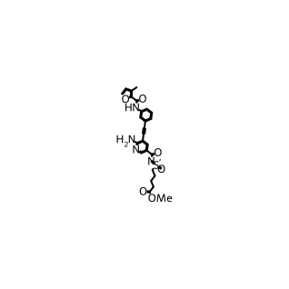 COC(=O)CCCC[S@](C)(=O)=NC(=O)c1cnc(N)c(C#Cc2cccc(NC(=O)c3occc3C)c2)c1